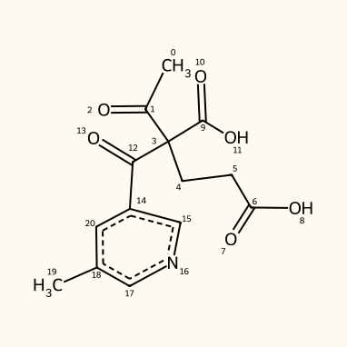 CC(=O)C(CCC(=O)O)(C(=O)O)C(=O)c1cncc(C)c1